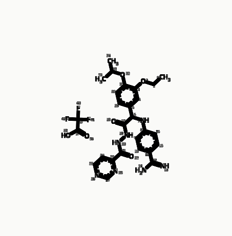 CCOc1cc(C(Nc2ccc(C(=N)N)cc2)C(=O)NNC(=O)c2ccncn2)ccc1OC(C)C.O=C(O)C(F)(F)F